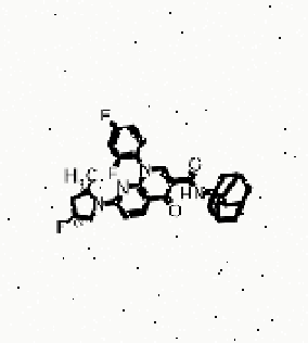 C[C@@H]1C[C@H](F)CN1c1ccc2c(=O)c(C(=O)NC34CC5CC(CC(C5)C3)C4)cn(-c3ccc(F)cc3F)c2n1